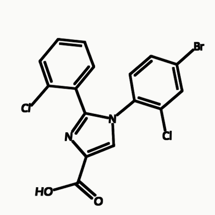 O=C(O)c1cn(-c2ccc(Br)cc2Cl)c(-c2ccccc2Cl)n1